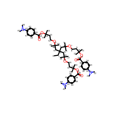 CCC(CC(C)(C)OCCC(C)(C)OC(=O)c1ccc(N(C)C)cc1)(CC(C)(C)OCCC(C)(C)OC(=O)c1ccc(N(C)C)cc1)CC(C)(C)OCCC(C)(C)OC(=O)c1ccc(N(C)C)cc1